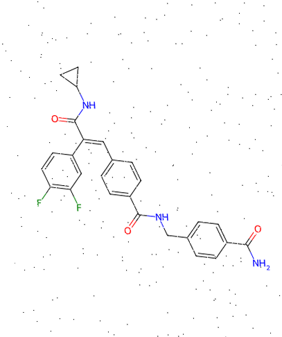 NC(=O)c1ccc(CNC(=O)c2ccc(/C=C(/C(=O)NC3CC3)c3ccc(F)c(F)c3)cc2)cc1